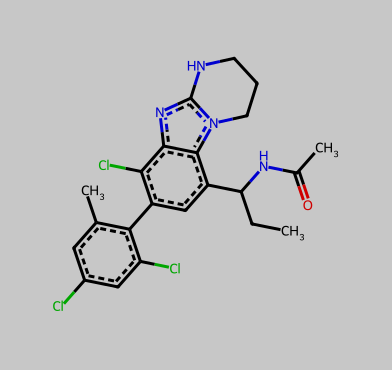 CCC(NC(C)=O)c1cc(-c2c(C)cc(Cl)cc2Cl)c(Cl)c2nc3n(c12)CCCN3